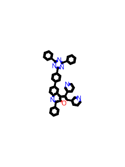 c1ccc(-c2nc(-c3ccccc3)nc(-c3ccc(-c4ccc5nc(-c6ccccc6)c6oc(-c7cccnc7)c(-c7cccnc7)c6c5c4)cc3)n2)cc1